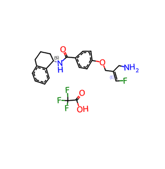 NC/C(=C\F)COc1ccc(C(=O)N[C@H]2CCCc3ccccc32)cc1.O=C(O)C(F)(F)F